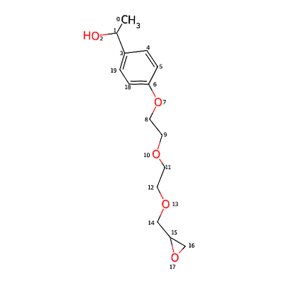 CC(O)c1ccc(OCCOCCOCC2CO2)cc1